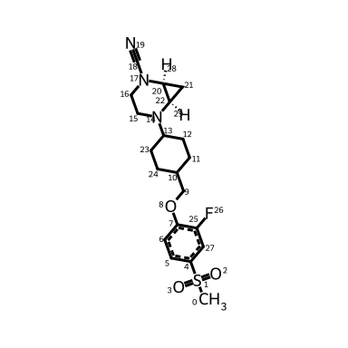 CS(=O)(=O)c1ccc(OCC2CCC(N3CCN(C#N)[C@H]4C[C@H]43)CC2)c(F)c1